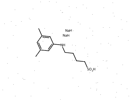 Cc1cc(C)cc(NCCCCS(=O)(=O)O)c1.[NaH].[NaH]